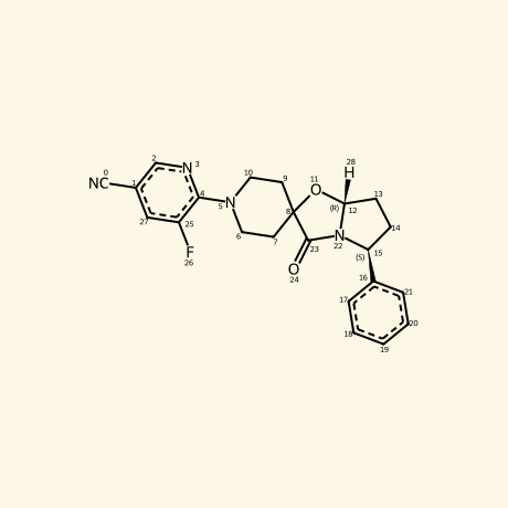 N#Cc1cnc(N2CCC3(CC2)O[C@@H]2CC[C@@H](c4ccccc4)N2C3=O)c(F)c1